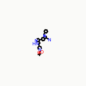 CC(C)(C)OC(=O)N1CCC(c2cc3c(-c4ccc5c(C#N)cn(Cc6ccccc6)c5c4)ccnc3[nH]2)CC1